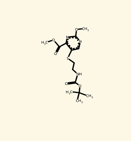 COC(=O)c1nc(OC)ncc1SCCNC(=O)OC(C)(C)C